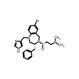 CN(C)CC[S+]([O-])N1Cc2cc(Br)ccc2N(Cc2c[nH]cn2)C[C@H]1Cc1ccccc1